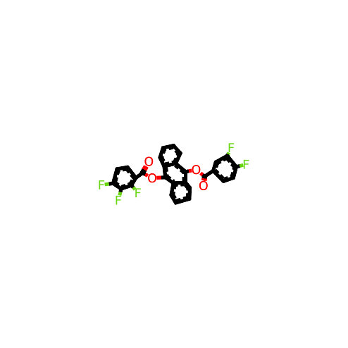 O=C(Oc1c2ccccc2c(OC(=O)c2ccc(F)c(F)c2F)c2ccccc12)c1ccc(F)c(F)c1